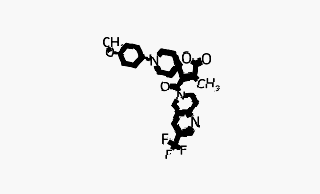 CO[C@H]1CC[C@@H](N2CCC3(CC2)OC(=O)C(C)=C3C(=O)N2CCc3ncc(C(F)(F)F)cc3C2)CC1